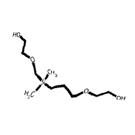 C[Si](C)(CCCOCCO)COCCO